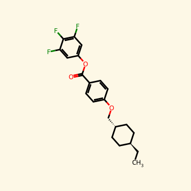 CC[C@H]1CC[C@H](COc2ccc(C(=O)Oc3cc(F)c(F)c(F)c3)cc2)CC1